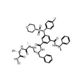 CCNC(=O)[C@@H](NC(=O)[C@H](C)NC[C@H](Cc1ccccc1)NC(=O)c1cc(C(=O)N[C@H](C)c2ccccc2)cc(N(c2ccc(F)cc2)S(=O)(=O)N2CCOCC2)c1)C(C)C